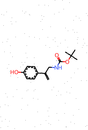 C=C(CNC(=O)OC(C)(C)C)c1ccc(O)cc1